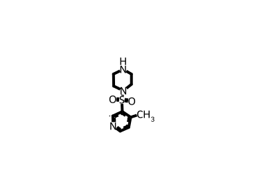 Cc1ccn[c]c1S(=O)(=O)N1CCNCC1